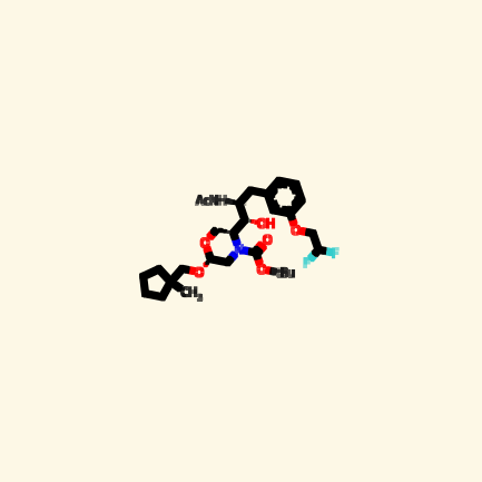 CC(=O)N[C@@H](Cc1cccc(OCC(F)F)c1)[C@H](O)[C@H]1CO[C@@H](OCC2(C)CCCC2)CN1C(=O)OC(C)(C)C